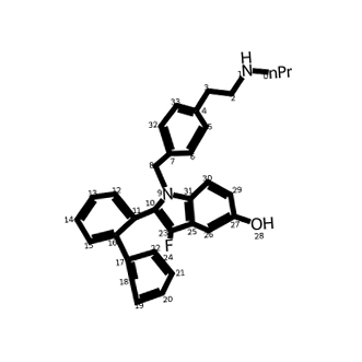 CCCNCCc1ccc(Cn2c(-c3ccccc3-c3ccccc3)c(F)c3cc(O)ccc32)cc1